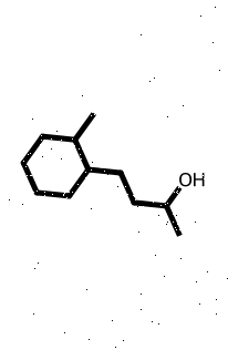 CC(O)CCC1CCCCC1C